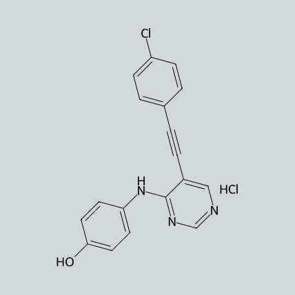 Cl.Oc1ccc(Nc2ncncc2C#Cc2ccc(Cl)cc2)cc1